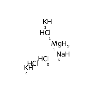 Cl.Cl.Cl.[KH].[KH].[MgH2].[NaH]